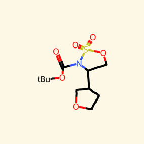 CC(C)(C)OC(=O)N1C(C2CCOC2)COS1(=O)=O